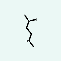 CNCCN(I)I